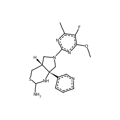 COc1nc(N2C[C@H]3CSC(N)N[C@@]3(c3cccnc3)C2)nc(C)c1F